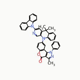 Cc1nn(-c2ccccc2)c2c1c(=O)oc1ccc(N3c4ccccc4C(C)(C)c4cc(-n5c6ccccc6c6ccccc65)ncc43)cc12